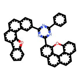 c1ccc(-c2nc(-c3ccc4ccc5ccc6c7ccccc7oc6c5c4c3)nc(-c3ccc4ccc5ccc6cccc7c6c5c4c3O7)n2)cc1